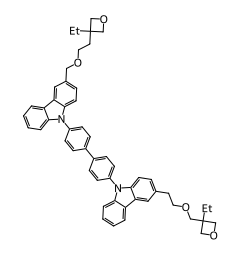 CCC1(CCOCc2ccc3c(c2)c2ccccc2n3-c2ccc(-c3ccc(-n4c5ccccc5c5cc(CCOCC6(CC)COC6)ccc54)cc3)cc2)COC1